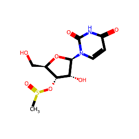 CS(=O)O[C@H]1[C@@H](O)[C@H](n2ccc(=O)[nH]c2=O)O[C@@H]1CO